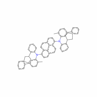 Cc1ccc(-c2ccccc2)cc1N(c1ccccc1C1CCCC1)c1ccc2ccc3c(N(c4cc(-c5ccccc5)ccc4C)c4ccccc4C4CCCC4)ccc4ccc1c2c43